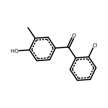 Cc1cc(C(=O)c2ccccc2Cl)ccc1O